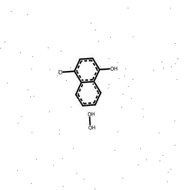 OO.Oc1ccc(Cl)c2ccccc12